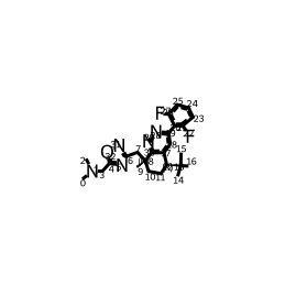 CN(C)Cc1nc(C[C@@]2(C)CC[C@H](C(C)(C)C)c3cc(-c4c(F)cccc4F)nnc32)no1